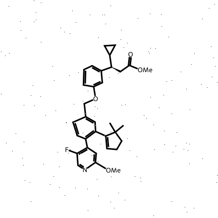 COC(=O)C[C@@H](c1cccc(OCc2ccc(-c3cc(OC)ncc3F)c(C3=CCCC3(C)C)c2)c1)C1CC1